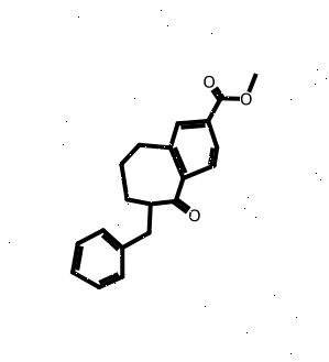 COC(=O)c1ccc2c(c1)CCCC(Cc1ccccc1)C2=O